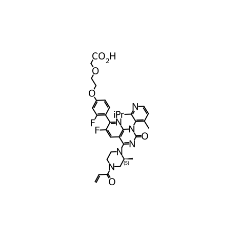 C=CC(=O)N1CCN(c2nc(=O)n(-c3c(C)ccnc3C(C)C)c3nc(-c4ccc(OCCOCC(=O)O)cc4F)c(F)cc23)[C@@H](C)C1